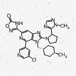 Cn1ncnc1C1CCCN1c1nc2cc(-c3noc(=O)[nH]3)nc(-c3cncc(Cl)c3)c2n1C[C@H]1CC[C@H](C)CC1